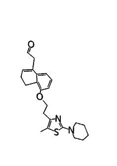 Cc1sc(N2CCCCC2)nc1CCOc1cccc2c1CCC=C2CC=O